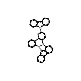 c1ccc2c(c1)B1N(c3ccc(-n4c5ccccc5c5ccccc54)nc3-2)c2cccc3c4ccccc4n1c23